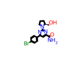 NC(=O)c1cc(-c2ccc(Br)cc2)nc(N2CCC[C@H]2CO)n1